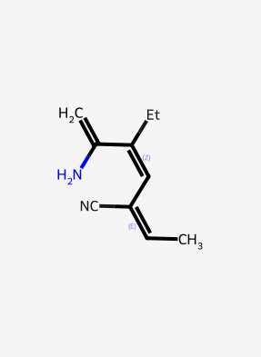 C=C(N)/C(=C\C(C#N)=C/C)CC